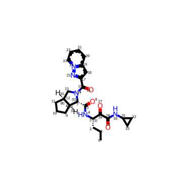 CCC[C@H](NC(=O)[C@@H]1[C@H]2CCC[C@H]2CN1C(=O)c1cc2ccccn2n1)C(=O)C(=O)NC1CC1